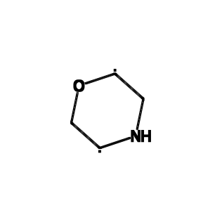 [CH]1CO[CH]CN1